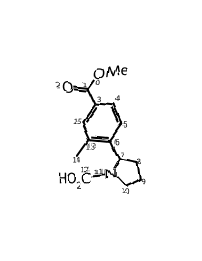 COC(=O)c1ccc(C2CCCN2C(=O)O)c(C)c1